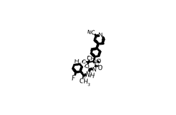 C[C@H](NC1=NS(=O)(=O)C(c2ccc(-c3ccnc(C#N)c3)cc2)C(C)(C)O1)c1ccccc1F